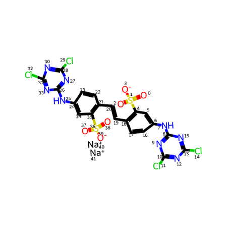 O=S(=O)([O-])c1cc(Nc2nc(Cl)nc(Cl)n2)ccc1C=Cc1ccc(Nc2nc(Cl)nc(Cl)n2)cc1S(=O)(=O)[O-].[Na+].[Na+]